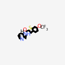 O=C(N[C@H]1C2CCN(CC2)C12CC2)c1cc2ccc(OC(F)(F)F)cc2s1